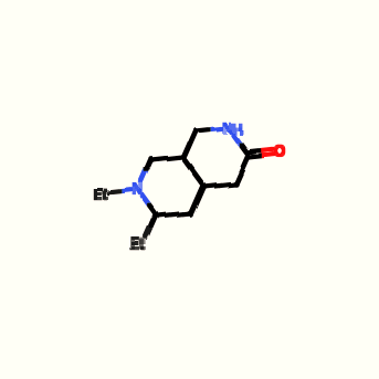 CCC1CC2CC(=O)NCC2CN1CC